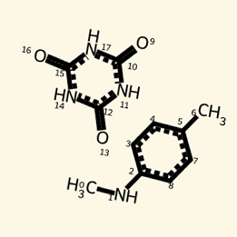 CNc1ccc(C)cc1.O=c1[nH]c(=O)[nH]c(=O)[nH]1